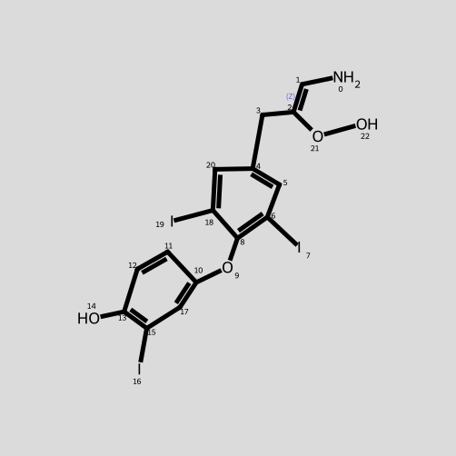 N/C=C(/Cc1cc(I)c(Oc2ccc(O)c(I)c2)c(I)c1)OO